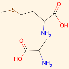 CC(N)C(=O)O.CSCCC(N)C(=O)O